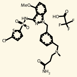 COc1cccc2c1c(NS(=O)(=O)c1ccc(Cl)s1)nn2Cc1cccc(CN(C)CCC(N)=O)c1.O=C(O)C(F)(F)F